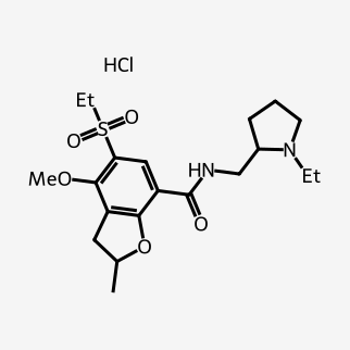 CCN1CCCC1CNC(=O)c1cc(S(=O)(=O)CC)c(OC)c2c1OC(C)C2.Cl